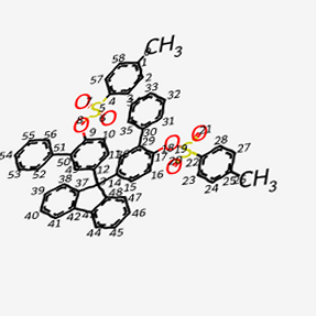 Cc1ccc(S(=O)(=O)Oc2ccc(C3(c4ccc(OS(=O)(=O)c5ccc(C)cc5)c(-c5ccccc5)c4)c4ccccc4-c4ccccc43)cc2-c2ccccc2)cc1